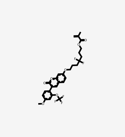 C=C(C)C(=O)OCCCC(F)(F)CCCOc1ccc2cc(-c3ccc(OC)cc3OC(F)(F)F)c(=O)oc2c1